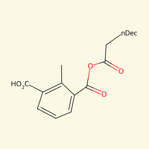 CCCCCCCCCCCC(=O)OC(=O)c1cccc(C(=O)O)c1C